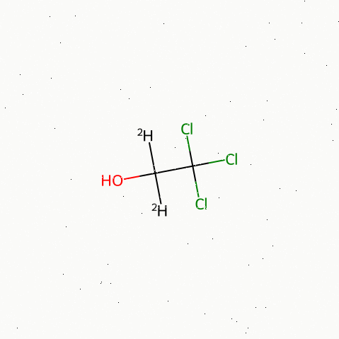 [2H]C([2H])(O)C(Cl)(Cl)Cl